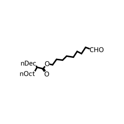 CCCCCCCCCCC(CCCCCCCC)C(=O)OCCCCCCCCC=O